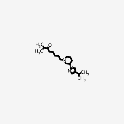 CC(C)C(=O)CCCCCN1CCCC(n2cc(C(C)C)cn2)C1